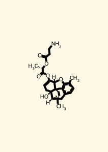 Cc1ccc2c3c1O[C@H]1C(OC(=O)[C@H](C)OC(=O)CCN)=CC[C@@]4(O)[C@@H](C2)N(C)CC[C@]314